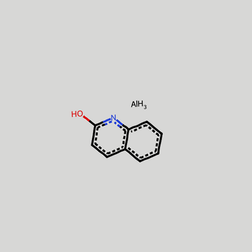 Oc1ccc2ccccc2n1.[AlH3]